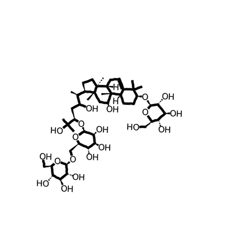 C[C@H](C(O)C[C@@H](O[C@@H]1O[C@H](CO[C@@H]2O[C@H](CO)[C@@H](O)[C@H](O)[C@H]2O)[C@@H](O)[C@H](O)[C@H]1O)C(C)(C)O)[C@H]1CC[C@@]2(C)[C@@H]3CC=C4[C@@H](CC[C@H](O[C@@H]5O[C@H](CO)[C@@H](O)[C@H](O)[C@H]5O)C4(C)C)[C@]3(C)[C@H](O)C[C@]12C